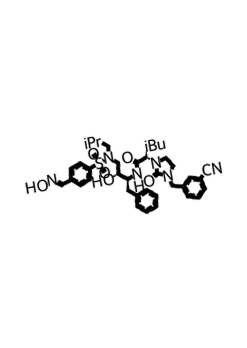 CC[C@H](C)[C@@H](C(=O)N[C@@H](Cc1ccccc1)[C@H](O)CN(CC(C)C)S(=O)(=O)c1ccc(C=NO)cc1)N1CCN(Cc2cccc(C#N)c2)C1=O